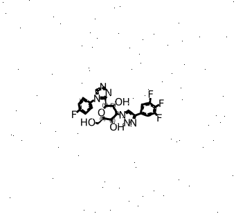 OC[C@H]1O[C@@H](c2nncn2-c2ccc(F)cc2)[C@H](O)[C@@H](n2cc(-c3cc(F)c(F)c(F)c3)nn2)[C@H]1O